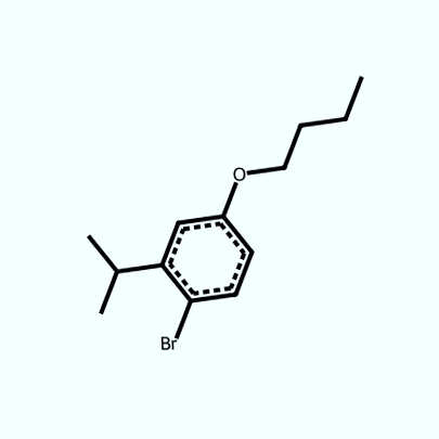 CCCCOc1ccc(Br)c(C(C)C)c1